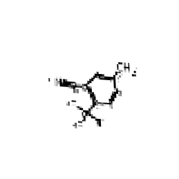 [CH2]c1ccc(C(F)(F)F)c(C#N)c1